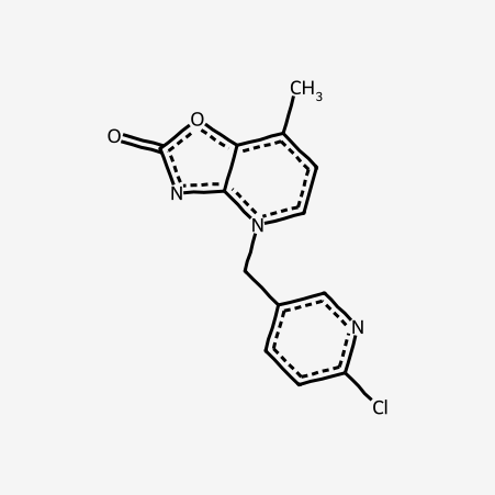 Cc1ccn(Cc2ccc(Cl)nc2)c2nc(=O)oc1-2